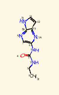 CCNC(=O)Nc1cnc2[nH]ccc2n1